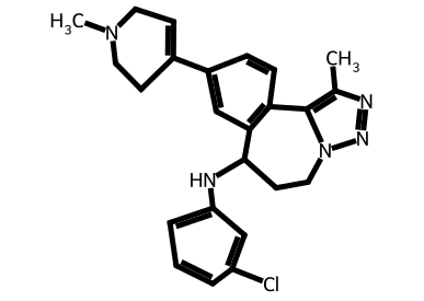 Cc1nnn2c1-c1ccc(C3=CCN(C)CC3)cc1C(Nc1cccc(Cl)c1)CC2